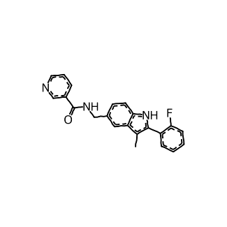 Cc1c(-c2ccccc2F)[nH]c2ccc(CNC(=O)c3cccnc3)cc12